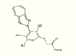 COC(=O)CCc1cc(C(C)(C)C)c(O)c(-n2nc3ccccc3n2)c1O